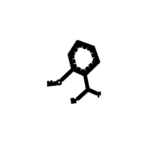 COc1ccccc1C(F)Br